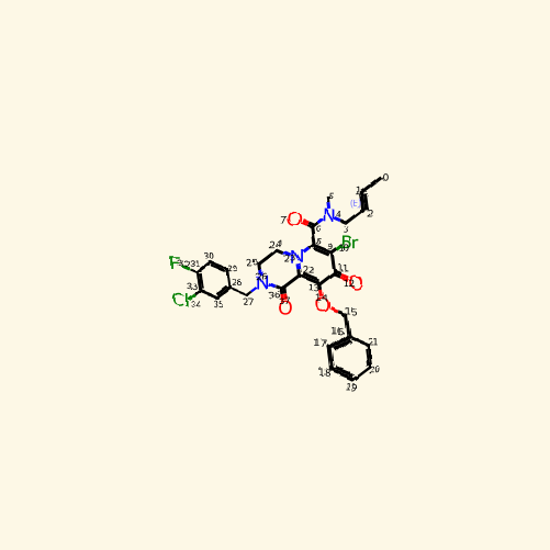 C/C=C/CN(C)C(=O)c1c(Br)c(=O)c(OCc2ccccc2)c2n1CCN(Cc1ccc(F)c(Cl)c1)C2=O